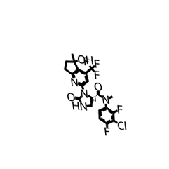 CN(C(=O)[C@@H]1CNC(=O)N1c1cc(C(F)(F)F)c2c(n1)CCC2(C)O)c1ccc(F)c(Cl)c1F